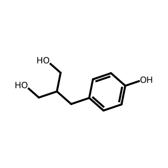 OCC(CO)Cc1ccc(O)cc1